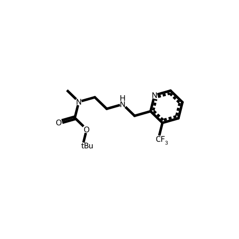 CN(CCNCc1ncccc1C(F)(F)F)C(=O)OC(C)(C)C